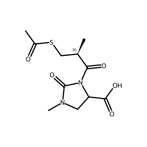 CC(=O)SC[C@@H](C)C(=O)N1C(=O)N(C)CC1C(=O)O